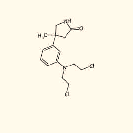 CC1(c2cccc(N(CCCl)CCCl)c2)CNC(=O)C1